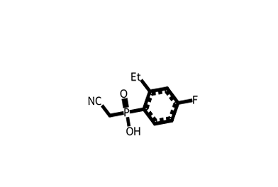 CCc1cc(F)ccc1P(=O)(O)CC#N